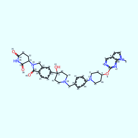 Cn1ccc2cnc(OC3CCN(c4ccc(CN5CCC(O)(c6ccc7c(c6)CN(C6CCC(=O)NC6=O)C7=O)CC5)cc4)CC3)nc21